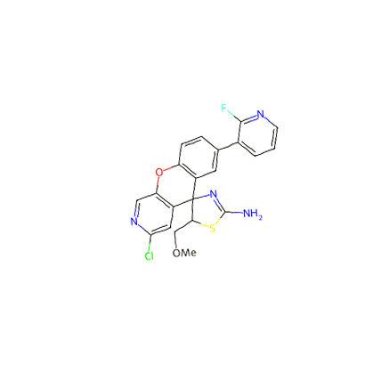 COCC1SC(N)=NC12c1cc(-c3cccnc3F)ccc1Oc1cnc(Cl)cc12